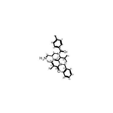 Cc1ccc(C(=O)N(CCCN)C(c2nc(C)c(C)c(=O)n2Cc2ccccc2)C(C)C)cc1